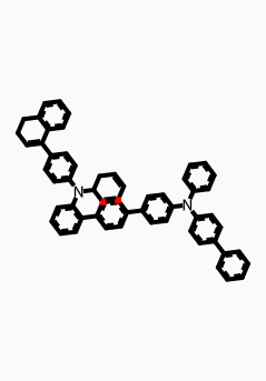 C1=CCC(N(c2ccc(C3=CCCc4ccccc43)cc2)c2ccccc2-c2ccc(-c3ccc(N(c4ccccc4)c4ccc(-c5ccccc5)cc4)cc3)cc2)C=C1